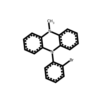 CN1c2ccccc2N(c2ccccc2Br)c2ccccc21